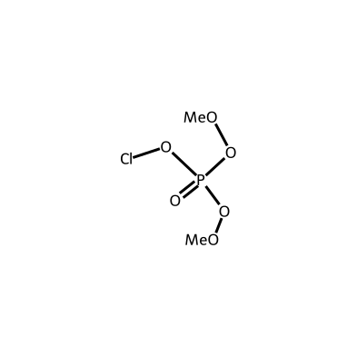 COOP(=O)(OCl)OOC